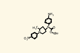 CC1CC(N(C(=O)OC(C)(C)C)c2ccc(N)cc2)CCN1c1ccc([N+](=O)[O-])cc1